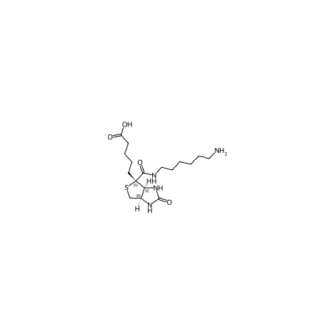 NCCCCCCNC(=O)[C@@]1(CCCCC(=O)O)SC[C@@H]2NC(=O)N[C@@H]21